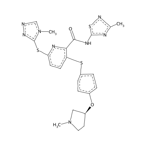 Cc1nsc(NC(=O)c2nc(Sc3nncn3C)ccc2Sc2ccc(O[C@H]3CCN(C)C3)cc2)n1